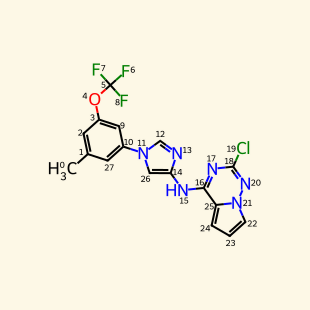 Cc1cc(OC(F)(F)F)cc(-n2cnc(Nc3nc(Cl)nn4cccc34)c2)c1